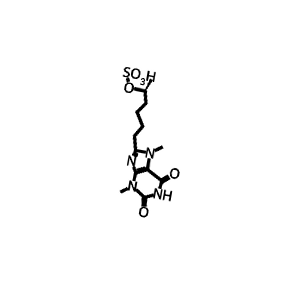 C[C@@H](CCCCc1nc2c(c(=O)[nH]c(=O)n2C)n1C)OS(=O)(=O)O